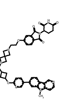 Cn1c2ccncc2c2ccc(-c3ccc(OC4CC(CN5CC6(CN(CCOc7ccc8c(c7)C(=O)N(C7CCC(=O)NC7=O)C8=O)C6)C5)C4)nc3)cc21